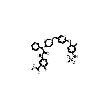 CNC(=O)c1cc(NC(=O)N(c2ccccc2)C2CCN(Cc3ccc(Oc4ccc(NS(C)(=O)=O)cc4C)nc3)CC2)ccc1F